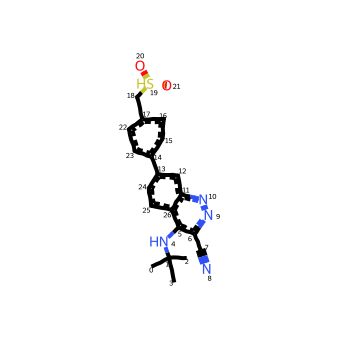 CC(C)(C)Nc1c(C#N)nnc2cc(-c3ccc(C[SH](=O)=O)cc3)ccc12